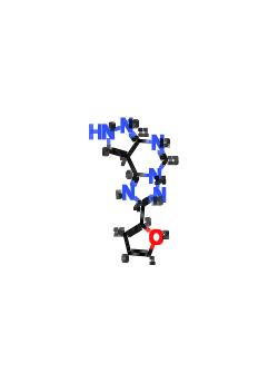 c1coc(-c2nc3c4c[nH]nc4ncn3n2)c1